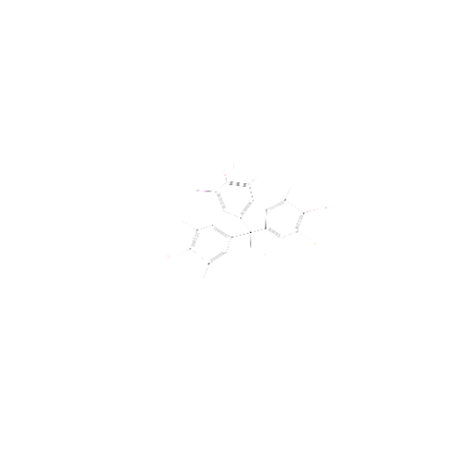 Cc1cc(C(C)(c2cc(S)c(O)c(I)c2)c2cc(I)c(O)c(I)c2)cc(I)c1O